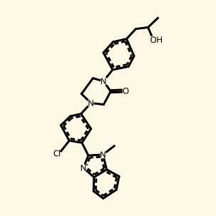 CC(O)Cc1ccc(N2CCN(c3ccc(Cl)c(-c4nc5ccccc5n4C)c3)CC2=O)cc1